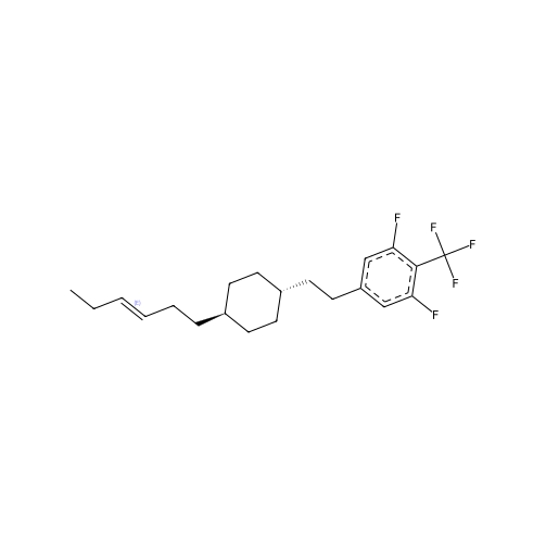 CC/C=C/CC[C@H]1CC[C@H](CCc2cc(F)c(C(F)(F)F)c(F)c2)CC1